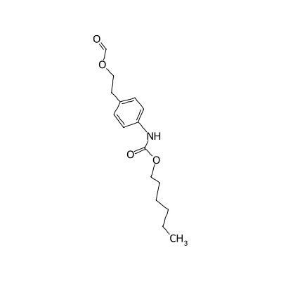 CCCCCCOC(=O)Nc1ccc(CCOC=O)cc1